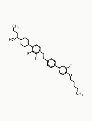 C=CCCCOc1ccc(-c2ccc(CCc3ccc(C4=CCC(C(O)CCC)CC4)c(F)c3F)cc2)cc1F